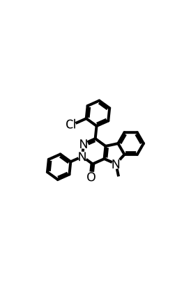 Cn1c2ccccc2c2c(-c3ccccc3Cl)nn(-c3ccccc3)c(=O)c21